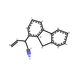 C=CC(C#N)c1cccc2c1Cc1ccccc1-2